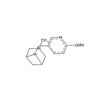 COc1ccc(CN2C3CC2CN(C)C3)cn1